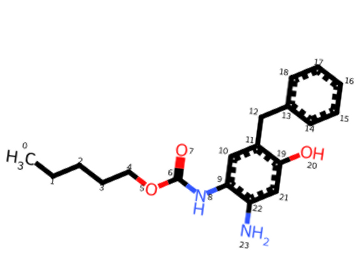 CCCCCOC(=O)Nc1cc(Cc2ccccc2)c(O)cc1N